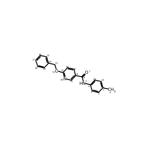 Cc1ccc(NC(=O)c2ccc(OCc3ccccc3)nc2)cc1